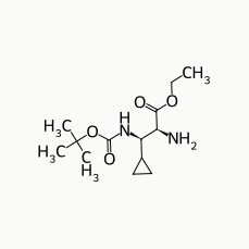 CCOC(=O)[C@@H](N)[C@H](NC(=O)OC(C)(C)C)C1CC1